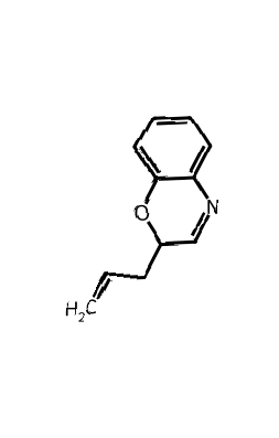 C=CCC1C=Nc2ccccc2O1